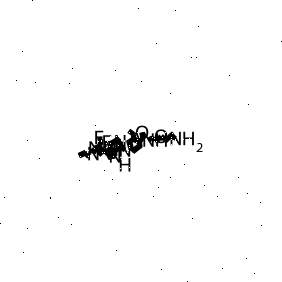 C=CCn1cc(-c2cnc3c(Nc4ccc(C(=O)NCCOCCN)c(CC)c4)nccn23)c(C(F)F)n1